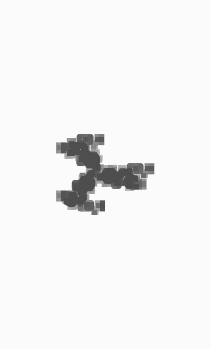 O=C(O)C(Cc1noc2cc(CN(Cc3ccc4c(CC(C(=O)O)C5CCNC5)noc4c3)Cc3ccc4c(CC(C(=O)O)C5CCNC5)noc4c3)ccc12)C1CCNC1